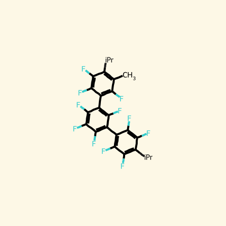 Cc1c(F)c(-c2c(F)c(F)c(F)c(-c3c(F)c(F)c(C(C)C)c(F)c3F)c2F)c(F)c(F)c1C(C)C